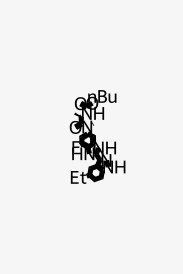 CCCCOC(=O)N[C@H](C)C(=O)N(C)c1cc(F)c2c(c1)NC(c1n[nH]c3c1CC(CC)CC3)N2